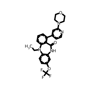 CCN1c2ccc(OC(F)(F)F)cc2NC(=O)c2c(-c3ccnc(N4CCOCC4)c3)cccc21